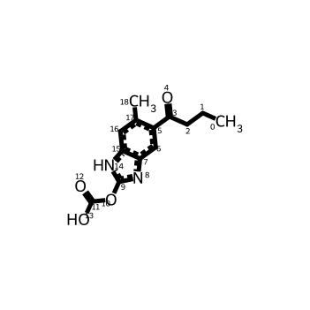 CCCC(=O)c1cc2nc(OC(=O)O)[nH]c2cc1C